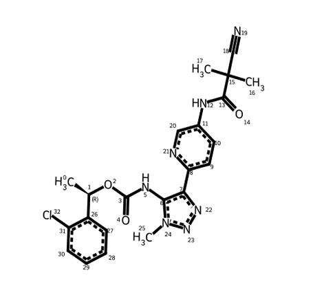 C[C@@H](OC(=O)Nc1c(-c2ccc(NC(=O)C(C)(C)C#N)cn2)nnn1C)c1ccccc1Cl